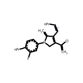 C=C(Cl)C1=C(/C=C\CCC)C(=C)N(c2ccc(CCC)c(F)c2)C1